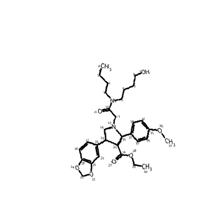 CCCCN(CCCCO)C(=O)CN1CC(c2ccc3c(c2)OCO3)C(C(=O)OCC)C1c1ccc(OC)cc1